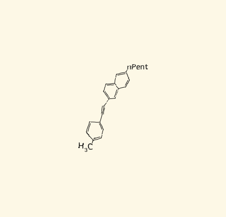 CCCCCc1ccc2cc(C#Cc3ccc(C)cc3)ccc2c1